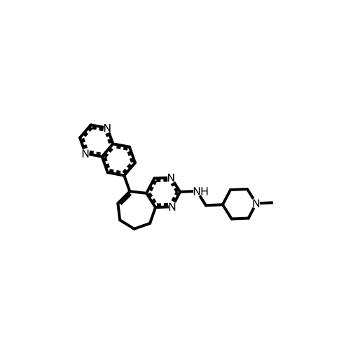 CN1CCC(CNc2ncc3c(n2)CCCC=C3c2ccc3nccnc3c2)CC1